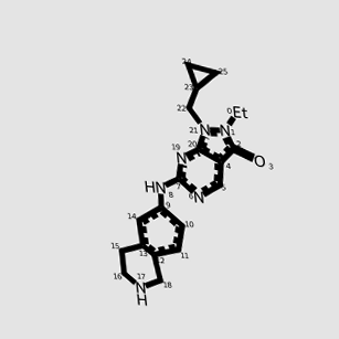 CCn1c(=O)c2cnc(Nc3ccc4c(c3)CCNC4)nc2n1CC1CC1